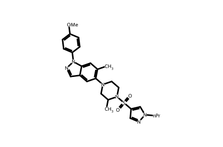 CCCn1cc(S(=O)(=O)N2CCN(c3cc4cnn(-c5ccc(OC)cc5)c4cc3C)CC2C)cn1